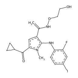 C=C(NOCCO)c1cc(C(=O)C2CC2)n(C)c1Nc1ccc(I)cc1F